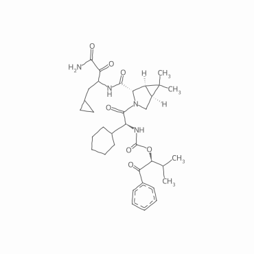 CC(C)[C@H](OC(=O)N[C@H](C(=O)N1C[C@H]2[C@@H]([C@H]1C(=O)NC(CC1CC1)C(=O)C(N)=O)C2(C)C)C1CCCCC1)C(=O)c1ccccc1